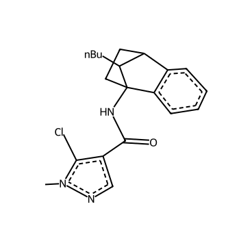 CCCCC1C2CCC1(NC(=O)c1cnn(C)c1Cl)c1ccccc12